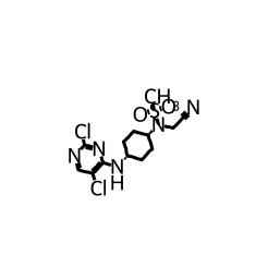 CS(=O)(=O)N(CC#N)[C@H]1CC[C@H](Nc2nc(Cl)ncc2Cl)CC1